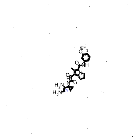 Cc1c(C(=O)C(=O)NC2(/C(N)=C/N)CC2)c2n(c1C(=O)Nc1cccc(OC(F)(F)F)c1)CCC2